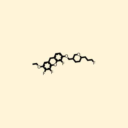 CCOc1cc2c(c(F)c1F)Oc1c(ccc(OCC3CCC(CCCF)OC3)c1F)C2